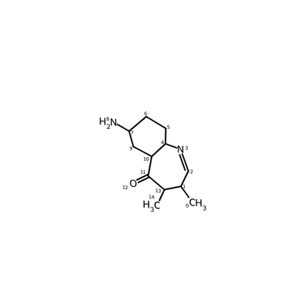 CC1C=NC2CCC(N)CC2C(=O)C1C